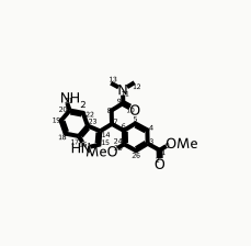 COC(=O)c1ccc(C(CC(=O)N(C)C)c2c[nH]c3ccc(N)cc23)c(OC)c1